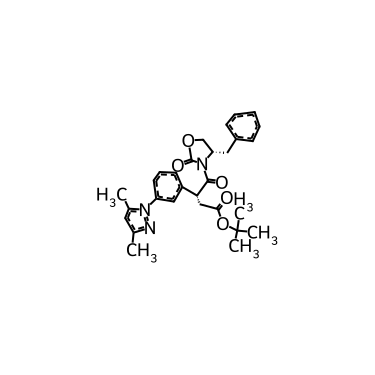 Cc1cc(C)n(-c2cccc([C@@H](CC(=O)OC(C)(C)C)C(=O)N3C(=O)OC[C@@H]3Cc3ccccc3)c2)n1